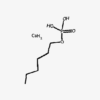 CCCCCCOP(=O)(O)O.[CaH2]